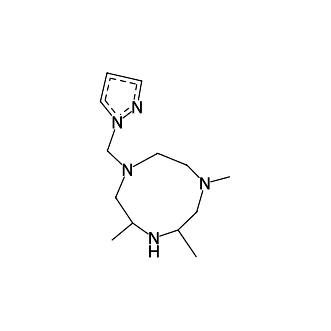 CC1CN(C)CCN(Cn2cccn2)CC(C)N1